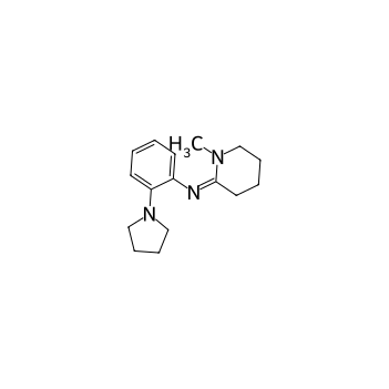 CN1CCCCC1=Nc1ccccc1N1CCCC1